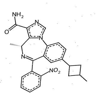 CC1CC(c2ccc3c(c2)C(c2ccccc2[N+](=O)[O-])=N[C@H](C)c2c(C(N)=O)ncn2-3)C1